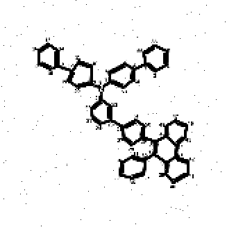 c1ccc(-c2ccc(N(c3ccc(-c4ccccc4)cc3)c3cccc(-c4ccc(-c5c(-c6ccccc6)c6ccccc6c6ccccc56)cc4)c3)cc2)cc1